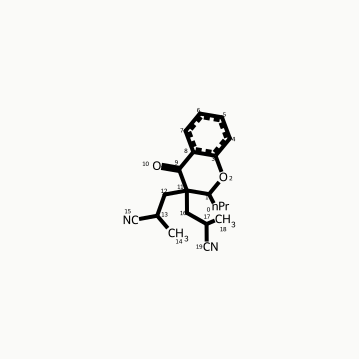 CCCC1Oc2ccccc2C(=O)C1(CC(C)C#N)CC(C)C#N